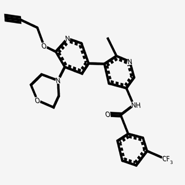 C#CCOc1ncc(-c2cc(NC(=O)c3cccc(C(F)(F)F)c3)cnc2C)cc1N1CCOCC1